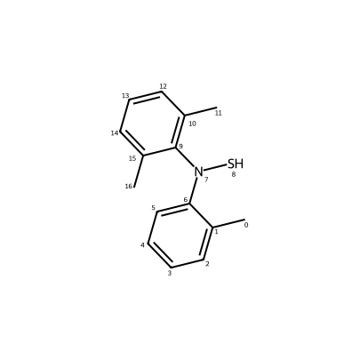 Cc1ccccc1N(S)c1c(C)cccc1C